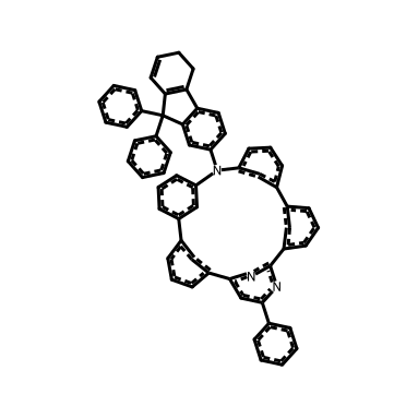 C1=CC2=C(CC1)c1ccc(N3c4cccc(c4)-c4cccc(c4)-c4cc(-c5ccccc5)nc(n4)-c4cccc(c4)-c4cccc3c4)cc1C2(c1ccccc1)c1ccccc1